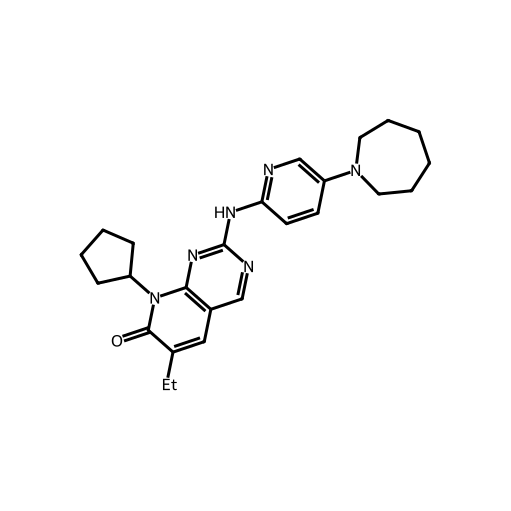 CCc1cc2cnc(Nc3ccc(N4CCCCCC4)cn3)nc2n(C2CCCC2)c1=O